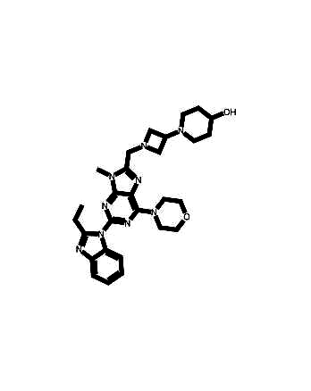 CCc1nc2ccccc2n1-c1nc(N2CCOCC2)c2nc(CN3CC(N4CCC(O)CC4)C3)n(C)c2n1